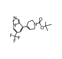 CC(C)(C)OC(=O)N1CC=C(c2cc(C(F)(F)F)cn3cncc23)CC1